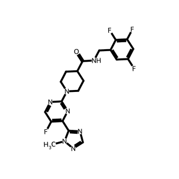 Cn1ncnc1-c1nc(N2CCC(C(=O)NCc3cc(F)cc(F)c3F)CC2)ncc1F